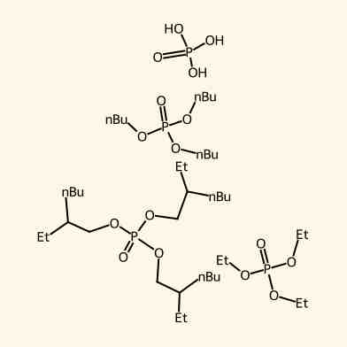 CCCCC(CC)COP(=O)(OCC(CC)CCCC)OCC(CC)CCCC.CCCCOP(=O)(OCCCC)OCCCC.CCOP(=O)(OCC)OCC.O=P(O)(O)O